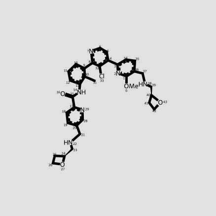 COc1nc(-c2ccnc(-c3cccc(NC(=O)c4ccc(CNC[C@@H]5CCO5)cn4)c3C)c2Cl)ccc1CNC[C@@H]1CCO1